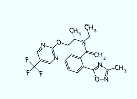 C=C(c1ccccc1-c1nc(C)no1)N(CC)[C@@H](C)COc1ncc(C(F)(F)F)cn1